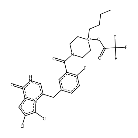 CCCC[N+]1(OC(=O)C(F)(F)F)CCN(C(=O)c2cc(Cc3c[nH]c(=O)c4cc(Cl)c(Cl)n34)ccc2F)CC1